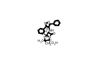 CC1(C)S[C@H]2N(C(=O)C2(C)Nc2c(-c3ccccc3)noc2-c2ccccc2)[C@H]1C(=O)O